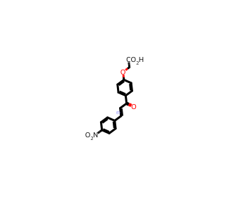 O=C(O)COc1ccc(C(=O)/C=C/c2ccc([N+](=O)[O-])cc2)cc1